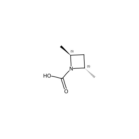 C[C@H]1C[C@H](C)N1C(=O)O